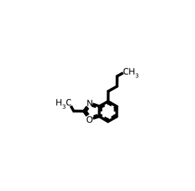 CCCCc1cccc2oc(CC)nc12